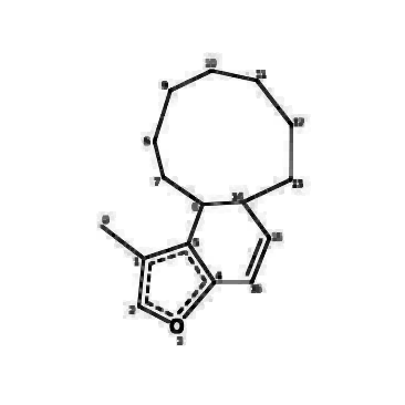 Cc1coc2c1C1CCCCCCCC1C=C2